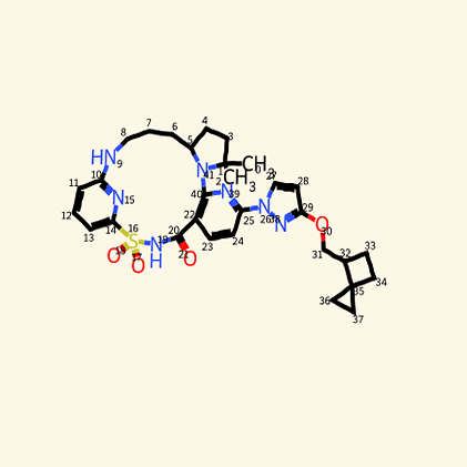 CC1(C)CCC2CCCNc3cccc(n3)S(=O)(=O)NC(=O)c3ccc(-n4ccc(OCC5CCC56CC6)n4)nc3N21